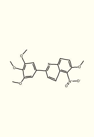 COc1cc(-c2ccc3c([N+](=O)[O-])c(OC)ccc3n2)cc(OC)c1OC